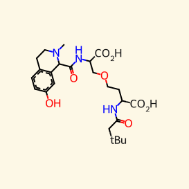 CN1CCc2ccc(O)cc2C1C(=O)NC(COCCC(NC(=O)CC(C)(C)C)C(=O)O)C(=O)O